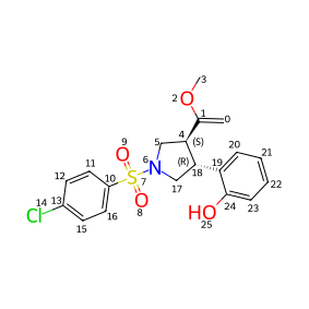 C=C(OC)[C@@H]1CN(S(=O)(=O)c2ccc(Cl)cc2)C[C@H]1c1ccccc1O